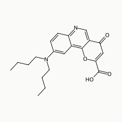 CCCCN(CCCC)c1ccc2ncc3c(=O)cc(C(=O)O)oc3c2c1